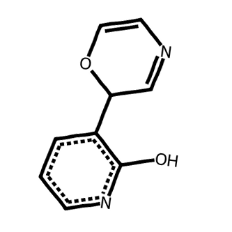 Oc1ncccc1C1C=NC=CO1